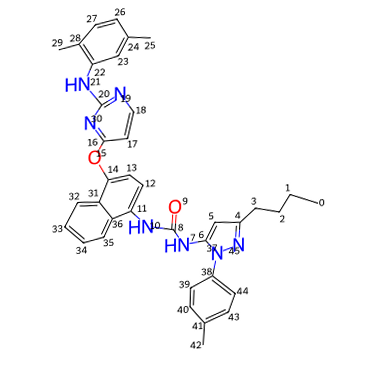 CCCCc1cc(NC(=O)Nc2ccc(Oc3ccnc(Nc4cc(C)ccc4C)n3)c3ccccc23)n(-c2ccc(C)cc2)n1